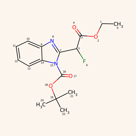 CCOC(=O)C(F)c1nc2ccccc2n1C(=O)OC(C)(C)C